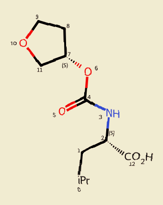 CC(C)C[C@H](NC(=O)O[C@H]1CCOC1)C(=O)O